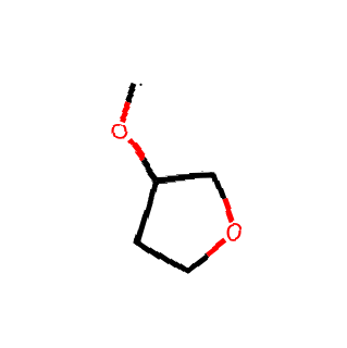 [CH2]OC1CCOC1